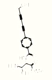 COC(=O)[C@@H](NC(=O)c1ccc(C#CC#CCO)cc1)[C@@H](C)N